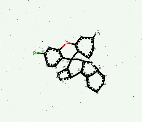 N#Cc1ccc2c(c1)Oc1cc(Br)ccc1C21c2ccccc2-c2c1ccc1ccccc21